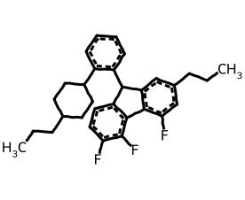 CCCc1cc(F)c2c(c1)C(c1ccccc1C1CCC(CCC)CC1)c1ccc(F)c(F)c1-2